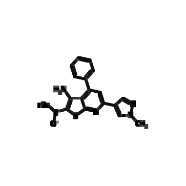 CCCC[S+]([O-])c1sc2nc(-c3cnn(C)c3)cc(-c3ccccc3)c2c1N